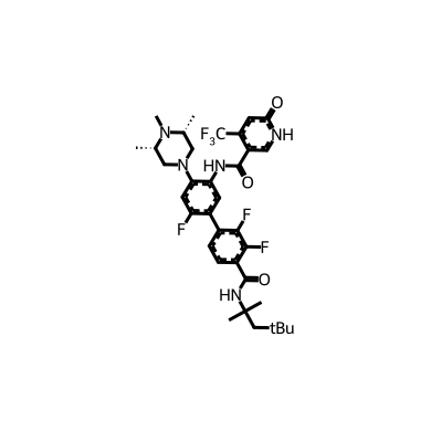 C[C@@H]1CN(c2cc(F)c(-c3ccc(C(=O)NC(C)(C)CC(C)(C)C)c(F)c3F)cc2NC(=O)c2c[nH]c(=O)cc2C(F)(F)F)C[C@H](C)N1C